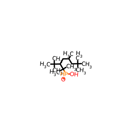 CC(CC(C(C)(C)C)C(C)(C)[PH](=O)O)CC(C)(C)C